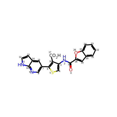 O=C(Nc1csc(-c2cnc3[nH]ccc3c2)c1C(=O)O)c1cc2ccccc2o1